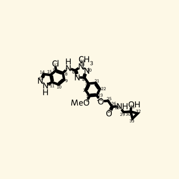 COc1cc(-c2nc(Nc3ccc4[nH]ncc4c3Cl)n(C)n2)ccc1OCC(=O)NCC1(O)CC1